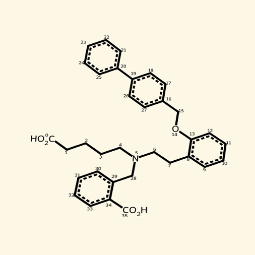 O=C(O)CCCCN(CCc1ccccc1OCc1ccc(-c2ccccc2)cc1)Cc1ccccc1C(=O)O